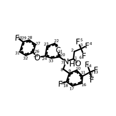 OC(CC(F)(F)F)N(Cc1cc(C(F)(F)F)ccc1F)c1cccc(Oc2ccc(F)cc2)c1